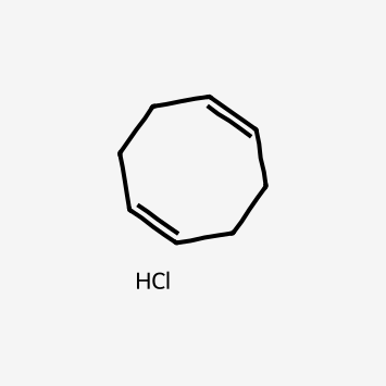 C1=C\CC/C=C\CC/1.Cl